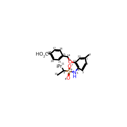 Cc1ccc(NS(=O)(=O)C(C)C(C)C)c(OCc2ccc(C(=O)O)cc2)c1